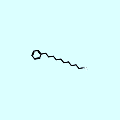 NCCCCCCCCCCc1[c]cccc1